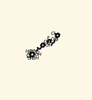 C/C(=C/COc1cccc(Cl)c1)[C@H]1O[C@@H](Oc2ccc(/C=C(\C)C(=O)N[C@@H]3[C@H](O)[C@@H](O)[C@H]4OCO[C@H]4[C@@H]3O)cc2O)[C@@H](F)[C@@H]1O